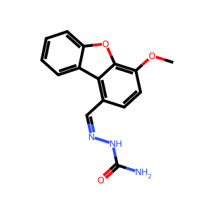 COc1ccc(/C=N\NC(N)=O)c2c1oc1ccccc12